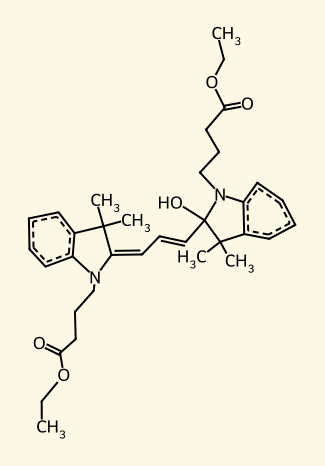 CCOC(=O)CCCN1/C(=C/C=C/C2(O)N(CCCC(=O)OCC)c3ccccc3C2(C)C)C(C)(C)c2ccccc21